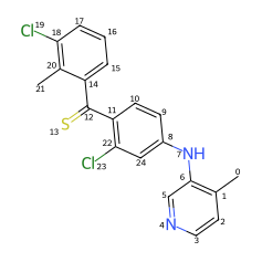 Cc1ccncc1Nc1ccc(C(=S)c2cccc(Cl)c2C)c(Cl)c1